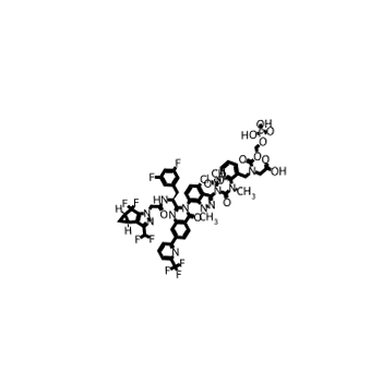 CN(C(=O)N(c1nn(C)c2c(-n3c([C@H](Cc4cc(F)cc(F)c4)NC(=O)Cn4nc(C(F)F)c5c4C(F)(F)[C@@H]4C[C@H]54)nc4cc(-c5cccc(C(F)(F)F)n5)ccc4c3=O)ccc(Cl)c12)S(C)(=O)=O)c1ncccc1CN(CC(=O)O)C(=O)OCOP(=O)(O)O